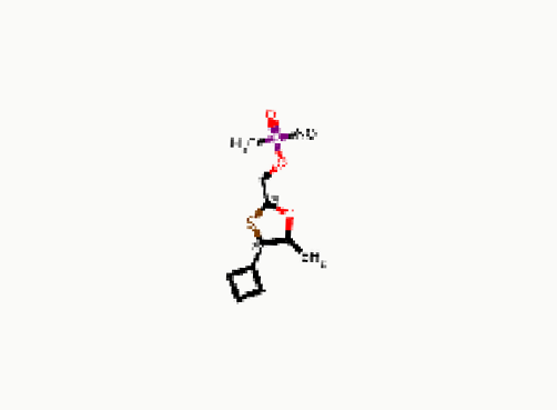 BC1O[C@H](COP(C)(=O)N=O)S[C@@H]1C1CCC1